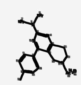 CCCN(CCC)c1nc2c(c(-c3ccc(C)cc3)n1)CN(C(C)=O)CC2.O